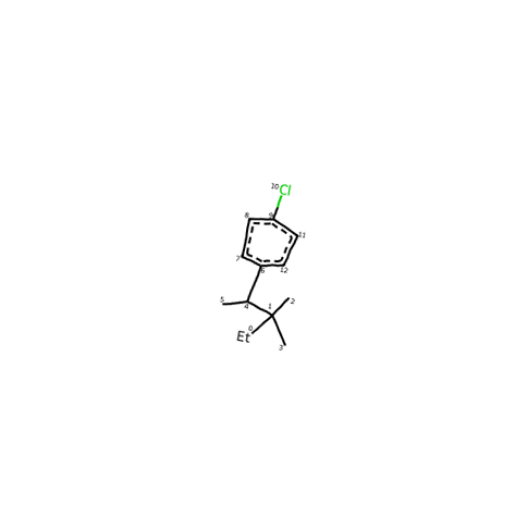 CCC(C)(C)C(C)c1ccc(Cl)cc1